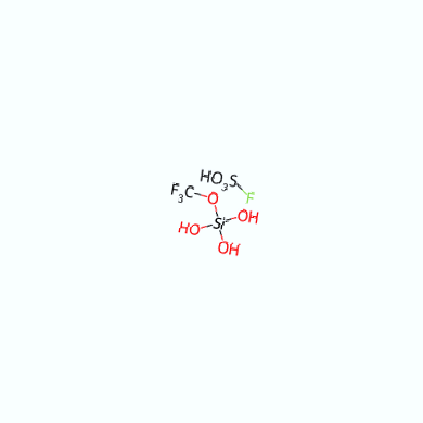 O=S(=O)(O)F.O[Si](O)(O)OC(F)(F)F